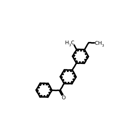 CCc1ccc(-c2ccc(C(=O)c3ccccc3)cc2)cc1C